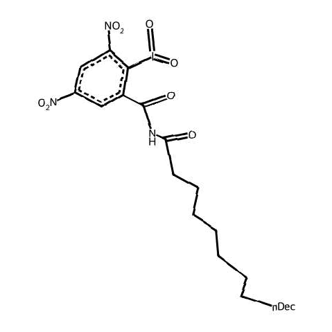 CCCCCCCCCCCCCCCCCC(=O)NC(=O)c1cc([N+](=O)[O-])cc([N+](=O)[O-])c1I(=O)=O